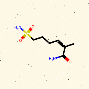 CC(=CCCCS(N)(=O)=O)C(N)=O